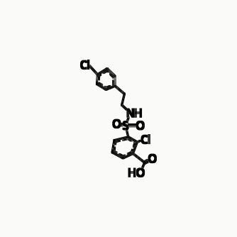 O=C(O)c1cccc(S(=O)(=O)NCCc2ccc(Cl)cc2)c1Cl